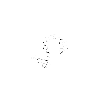 CNc1cc(=O)n(-c2ccnc3c2cc([C@H](C)N2CC=C(c4c(F)cc(C(=O)N5CCC(CN6CCN(Cc7ccc8c(c7)C(C)(C)C(=O)N8C7CCC(=O)NC7=O)C[C@@H]6C)CC5)cc4F)CC2)n3C)cc1F